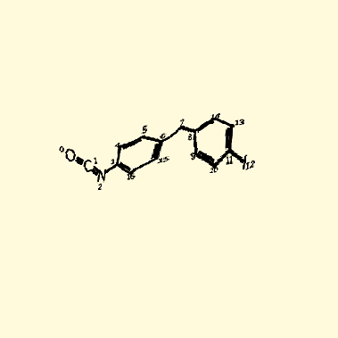 O=C=Nc1ccc(Cc2ccc(I)cc2)cc1